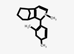 CC1=C(C2C3=C(C=CN2C)C2CCCC3C2)C=CC(C)C1